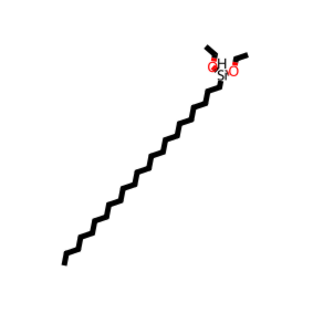 CCCCCCCCCCCCCCCCCCCCCCC[SiH](OCC)OCC